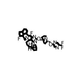 C#Cc1c(F)ccc2cccc(-c3nc4c5c(nc(OC[C@@]67CCCN6[C@H](COc6cnc(C(F)F)cn6)CC7)nc5c3F)N3CC5CC[C@H](N5)[C@H]3CCC4)c12